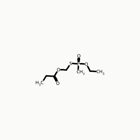 CCOP(C)(=O)SCOC(=O)CC